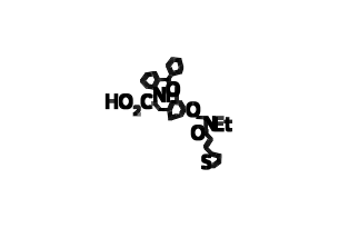 CCN(CCOc1ccc(C[C@H](Nc2ccccc2C(=O)c2ccccc2)C(=O)O)cc1)C(=O)/C=C/c1cccs1